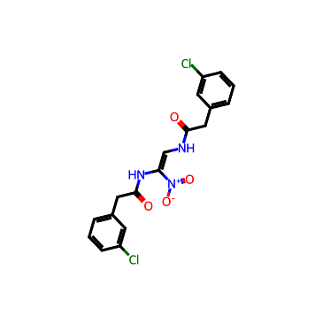 O=C(Cc1cccc(Cl)c1)NC=C(NC(=O)Cc1cccc(Cl)c1)[N+](=O)[O-]